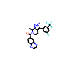 CC1c2nn(C)c(-c3cc(F)cc(C(F)(F)F)c3)c2CCN1C(=O)c1ccc2nccnc2c1